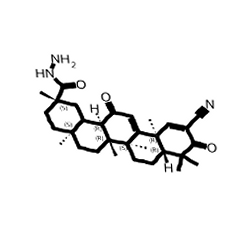 CC1(C)C(=O)C(C#N)=C[C@]2(C)C3=CC(=O)[C@@H]4C5C[C@@](C)(C(=O)NN)CC[C@]5(C)CC[C@@]4(C)[C@]3(C)CC[C@@H]12